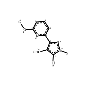 CCOc1cccc(-c2nn(C)c(Cl)c2C=O)n1